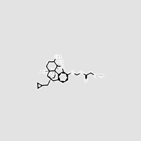 CCCCCCCCCCCC(=O)OCOc1ccc2c3c1O[C@@]1(O)C(O)CC[C@@]4(O)C(C2)N(CC2CC2)CC[C@@]341